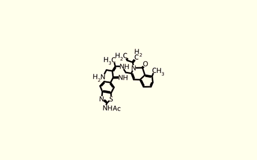 C=CC(=C)n1c(CN/C(C)=C(/CN)C(=N)c2ccc3nc(NC(C)=O)sc3c2)cc2cccc(C)c2c1=O